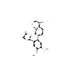 COc1cc(-c2ncc(F)s2)c(-c2ccc3c(N)cnnc3c2)cc1B(O)O